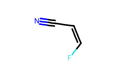 N#C/C=C\F